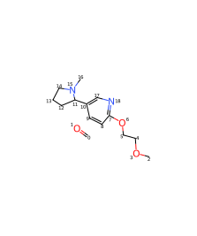 C=O.COCCOc1ccc(C2CCCN2C)cn1